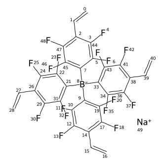 C=Cc1c(F)c(F)c([B-](c2c(F)c(F)c(C=C)c(F)c2F)(c2c(F)c(F)c(C=C)c(F)c2F)c2c(F)c(F)c(C=C)c(F)c2F)c(F)c1F.[Na+]